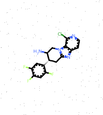 NC1Cn2c(nc3ccnc(Cl)c32)C[C@@H]1c1cc(F)c(F)cc1F